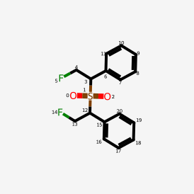 O=S(=O)(C(CF)c1ccccc1)C(CF)c1ccccc1